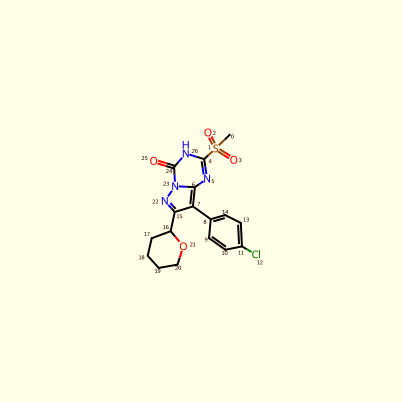 CS(=O)(=O)c1nc2c(-c3ccc(Cl)cc3)c(C3CCCCO3)nn2c(=O)[nH]1